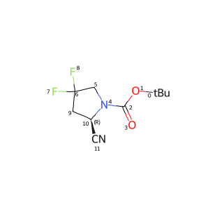 CC(C)(C)OC(=O)N1CC(F)(F)C[C@@H]1C#N